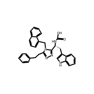 O=C(O)N[C@H](Cc1c[nH]c2ccccc12)c1nnc(CCc2ccccc2)n1Cc1cccc2ccccc12